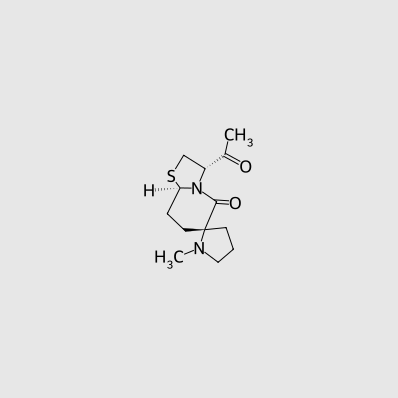 CC(=O)[C@H]1CS[C@@H]2CC[C@]3(CCCN3C)C(=O)N12